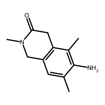 Cc1cc2c(c(C)c1N)CC(=O)N(C)C2